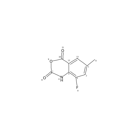 Cc1cc(F)c2[nH]c(=O)oc(=O)c2c1